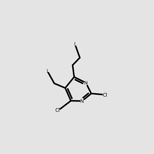 Clc1nc(Cl)c(CI)c(CCI)n1